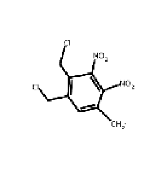 [CH2]c1cc(CCl)c(CCl)c([N+](=O)[O-])c1[N+](=O)[O-]